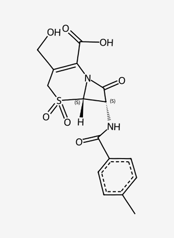 Cc1ccc(C(=O)N[C@H]2C(=O)N3C(C(=O)O)=C(CO)CS(=O)(=O)[C@@H]23)cc1